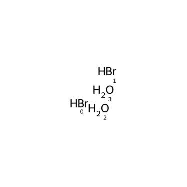 Br.Br.O.O